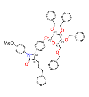 COc1ccc(N2C(=O)[C@H](CCCc3ccccc3)[C@H]2c2ccc(O[C@@H]3O[C@H](COCc4ccccc4)[C@@H](OCc4ccccc4)[C@H](OCc4ccccc4)[C@H]3OCc3ccccc3)cc2)cc1